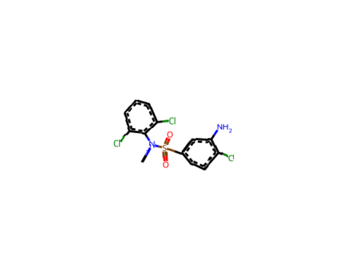 CN(c1c(Cl)cccc1Cl)S(=O)(=O)c1ccc(Cl)c(N)c1